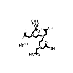 O=C(O)CN(CCN(CC(=O)O)CC(=O)O)CCN(CC(=O)O)CC(=O)O.[CaH2].[NaH].[NaH].[NaH]